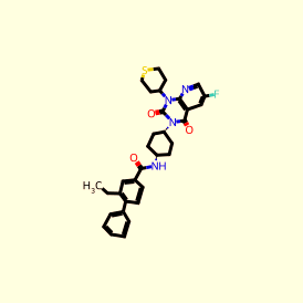 CCc1cc(C(=O)N[C@H]2CC[C@@H](n3c(=O)c4cc(F)cnc4n(C4CCSCC4)c3=O)CC2)ccc1-c1ccccc1